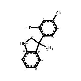 CC1(c2ccc(Cl)cc2F)CNc2ccccc21